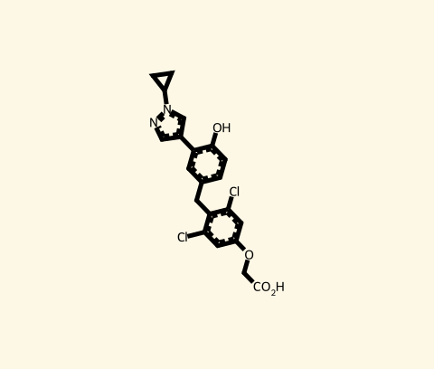 O=C(O)COc1cc(Cl)c(Cc2ccc(O)c(-c3cnn(C4CC4)c3)c2)c(Cl)c1